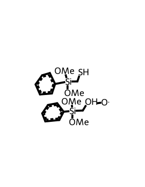 CO[Si](CO)(OC)c1ccccc1.CO[Si](CS)(OC)c1ccccc1.C[O]